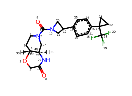 O=C1CO[C@@H]2CCN(C(=O)N3CC(c4ccc(C5(C(F)(F)F)CC5)cc4)C3)C[C@H]2N1